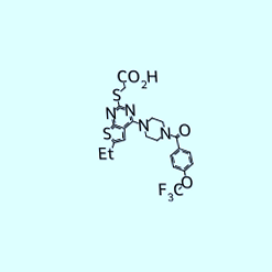 CCc1cc2c(N3CCN(C(=O)c4ccc(OC(F)(F)F)cc4)CC3)nc(SCC(=O)O)nc2s1